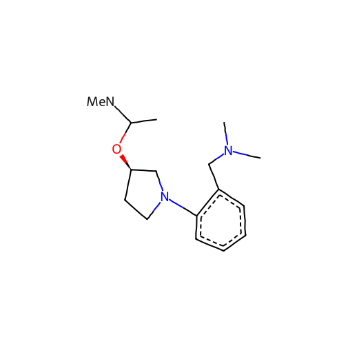 CNC(C)O[C@@H]1CCN(c2ccccc2CN(C)C)C1